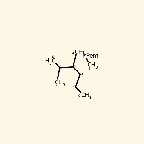 CCCC(C)C(C)C.CCCCCC